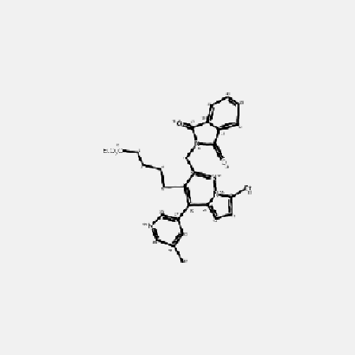 CCOC(=O)CCCCc1c(CN2C(=O)c3ccccc3C2=O)nn2c(CC)ccc2c1-c1cncc(C)c1